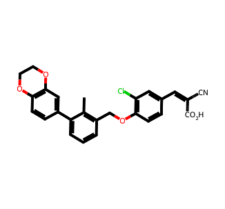 Cc1c(COc2ccc(C=C(C#N)C(=O)O)cc2Cl)cccc1-c1ccc2c(c1)OCCO2